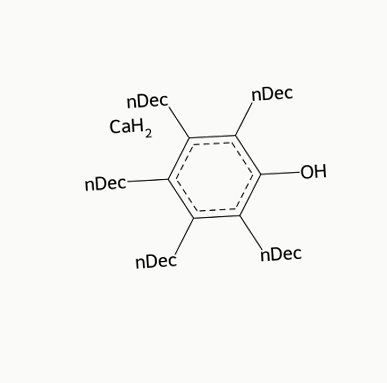 CCCCCCCCCCc1c(O)c(CCCCCCCCCC)c(CCCCCCCCCC)c(CCCCCCCCCC)c1CCCCCCCCCC.[CaH2]